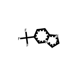 FC(F)(F)c1ccc2nc[c]n2c1